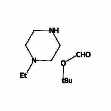 CC(C)(C)OC=O.CCN1CCNCC1